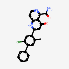 Cc1cc(-c2ccccc2)c(Cl)cc1-c1cc(=O)c2c(C(N)=O)nccc2[nH]1